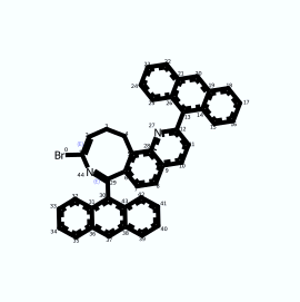 BrC1=C/CCc2c(ccc3ccc(-c4c5ccccc5cc5ccccc45)nc23)/C(c2c3ccccc3cc3ccccc23)=N\1